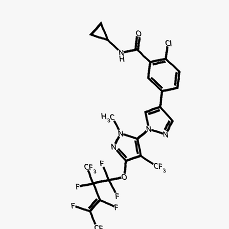 Cn1nc(OC(F)(F)C(F)(C(F)=C(F)C(F)(F)F)C(F)(F)F)c(C(F)(F)F)c1-n1cc(-c2ccc(Cl)c(C(=O)NC3CC3)c2)cn1